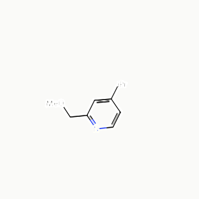 COCc1cc(C(C)C)ccn1